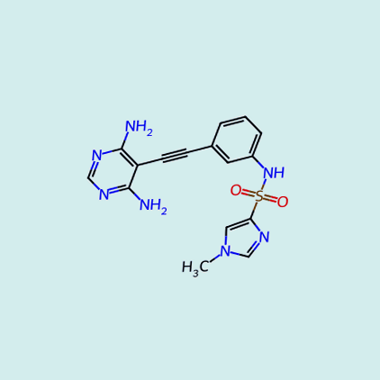 Cn1cnc(S(=O)(=O)Nc2cccc(C#Cc3c(N)ncnc3N)c2)c1